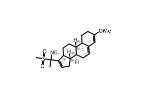 [C-]#[N+]C(C)(C1=CC[C@H]2[C@@H]3CC=C4C=C(OC)CC[C@]4(C)[C@H]3CC[C@]12C)S(C)(=O)=O